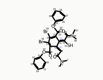 CN(C)C(=O)/C=c1\c(C(=O)Oc2ccccc2)c(Br)c(Br)c(C(=O)Oc2ccccc2)\c1=C(\S)C(=O)N(C)C